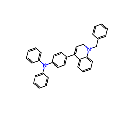 C1=C(c2ccc(N(c3ccccc3)c3ccccc3)cc2)c2ccccc2N(Cc2ccccc2)C1